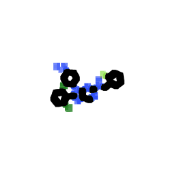 NC1CCC(n2c(-c3c(Cl)cccc3Cl)nc3cnc(NCc4ccccc4F)nc32)CC1